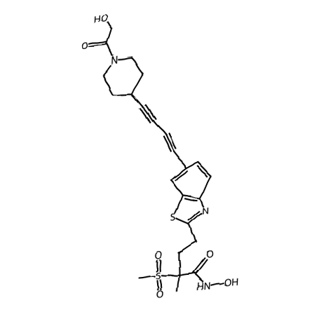 CC(CCc1nc2ccc(C#CC#CC3CCN(C(=O)CO)CC3)cc2s1)(C(=O)NO)S(C)(=O)=O